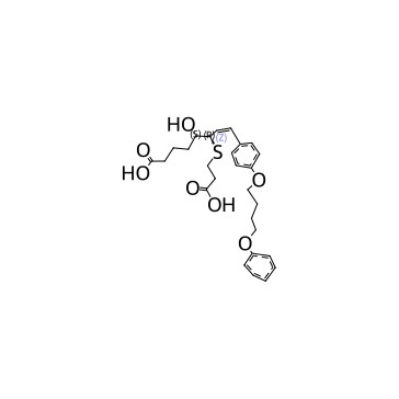 O=C(O)CCC[C@H](O)[C@@H](/C=C\c1ccc(OCCCCOc2ccccc2)cc1)SCCC(=O)O